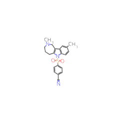 Cc1ccc2c(c1)c1c(n2S(=O)(=O)c2ccc(C#N)cc2)CCCN(C)C1